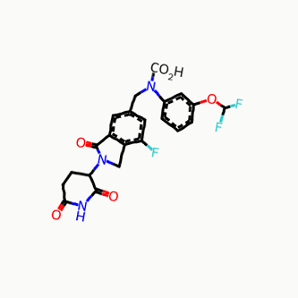 O=C1CCC(N2Cc3c(F)cc(CN(C(=O)O)c4cccc(OC(F)F)c4)cc3C2=O)C(=O)N1